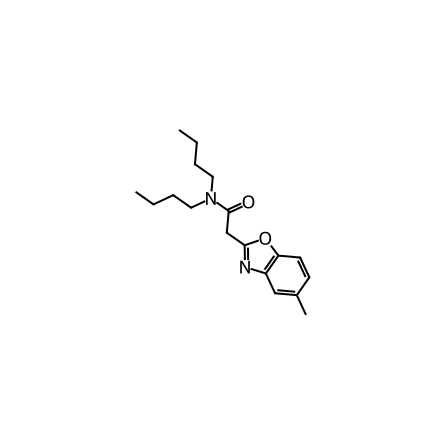 CCCCN(CCCC)C(=O)Cc1nc2cc(C)ccc2o1